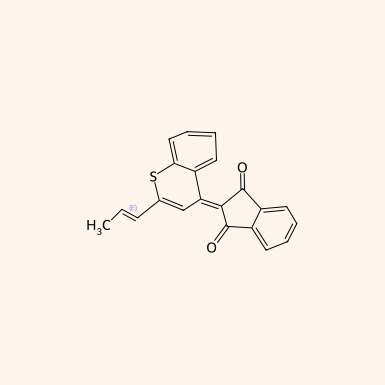 C/C=C/C1=CC(=C2C(=O)c3ccccc3C2=O)c2ccccc2S1